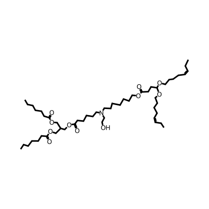 CC/C=C\CCCCOC(CCC(=O)OCCCCCCCN(CCO)CCCCCC(=O)OCC(COC(=O)CCCCCC)COC(=O)CCCCCC)OCCCC/C=C\CC